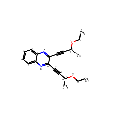 CCO[C@@H](C)C#Cc1nc2ccccc2nc1C#C[C@H](C)OCC